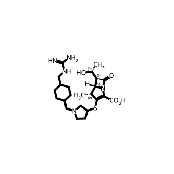 C[C@@H](O)[C@H]1C(=O)N2C(C(=O)O)=C(SC3CCN(CC4CCC(CNC(=N)N)CC4)C3)[C@H](C)[C@H]12